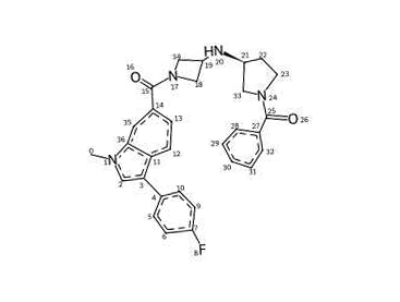 Cn1cc(-c2ccc(F)cc2)c2ccc(C(=O)N3CC(N[C@H]4CCN(C(=O)c5ccccc5)C4)C3)cc21